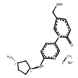 CSCc1ccc(=O)n(-c2ccc(N[C@H]3CC[C@H](N)C3)nc2)c1.C[S-].[Na+]